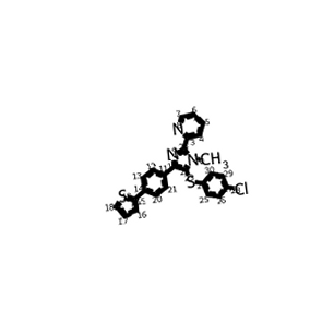 Cn1c(-c2ccccn2)nc(-c2ccc(-c3cccs3)cc2)c1Sc1ccc(Cl)cc1